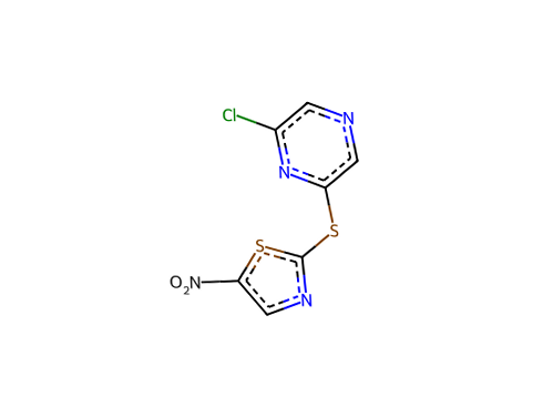 O=[N+]([O-])c1cnc(Sc2cncc(Cl)n2)s1